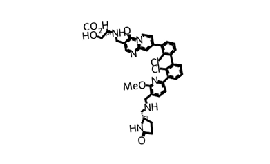 COc1nc(-c2cccc(-c3cccc(-c4ccn5c(=O)c(CN[C@@H](CO)C(=O)O)cnc5c4)c3Cl)c2Cl)ccc1CNC[C@@H]1CCC(=O)N1